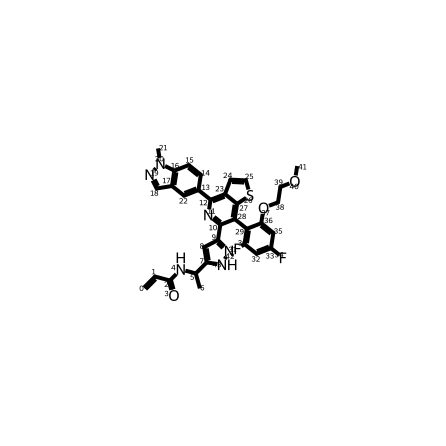 C=CC(=O)NC(C)c1cc(-c2nc(-c3ccc4c(cnn4C)c3)c3ccsc3c2-c2c(F)cc(F)cc2OCCOC)n[nH]1